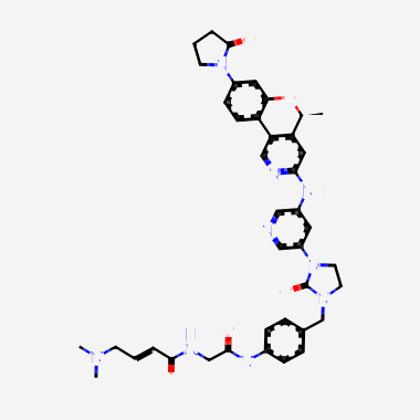 C[C@@H]1Oc2cc(N3CCCC3=O)ccc2-c2cnc(Nc3cncc(N4CCN(Cc5ccc(NC(=O)CNC(=O)/C=C/CN(C)C)cc5)C4=O)c3)cc21